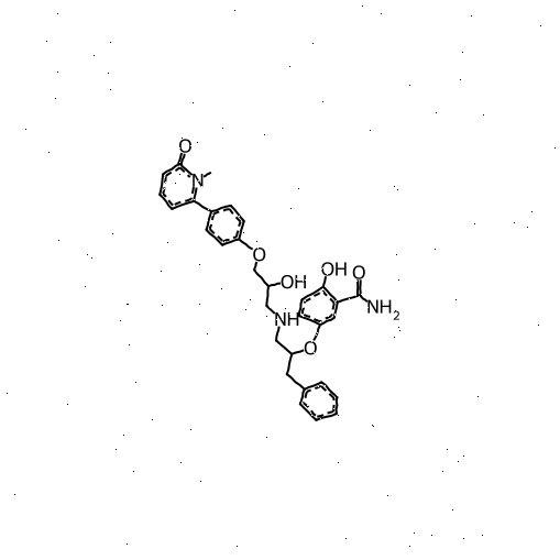 Cn1c(-c2ccc(OCC(O)CNCC(Cc3ccccc3)Oc3ccc(O)c(C(N)=O)c3)cc2)cccc1=O